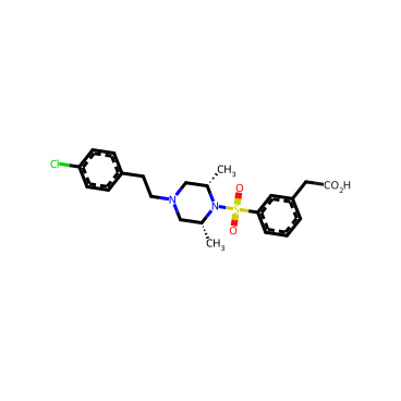 C[C@@H]1CN(CCc2ccc(Cl)cc2)C[C@H](C)N1S(=O)(=O)c1cccc(CC(=O)O)c1